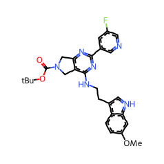 COc1ccc2c(CCNc3nc(-c4cncc(F)c4)nc4c3CN(C(=O)OC(C)(C)C)C4)c[nH]c2c1